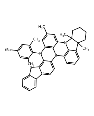 Cc1cc2c3c(c1)N1c4c(cccc4C4(C)CCCCC14C)B3c1ccc3c(sc4ccccc43)c1N2c1c(C)cc(C(C)(C)C)cc1C